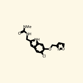 CNC(=O)NCc1cc2cc(Cl)c(OCc3ccon3)cc2[nH]1